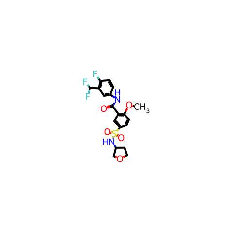 COc1ccc(S(=O)(=O)NC2CCOC2)cc1C(=O)Nc1ccc(F)c(C(F)F)c1